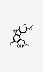 COC(=O)Cc1c(C)[nH]c2cc(F)c(O)c(CN(C)C)c12